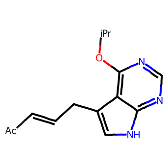 CC(=O)/C=C/Cc1c[nH]c2ncnc(OC(C)C)c12